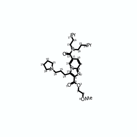 COCCOC(=O)c1nc2ccc(C(=O)N(CCC(C)C)CCC(C)C)cn2c1CCCN1CCCC1